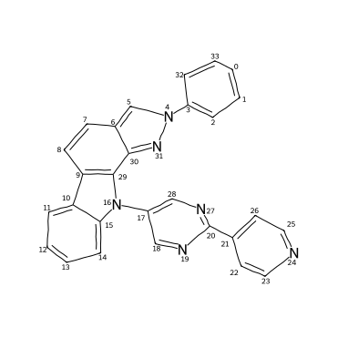 c1ccc(-n2cc3ccc4c5ccccc5n(-c5cnc(-c6ccncc6)nc5)c4c3n2)cc1